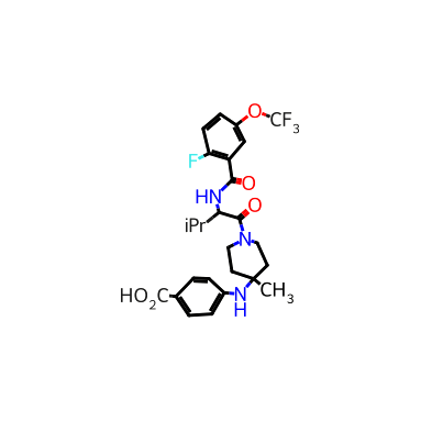 CC(C)C(NC(=O)c1cc(OC(F)(F)F)ccc1F)C(=O)N1CCC(C)(Nc2ccc(C(=O)O)cc2)CC1